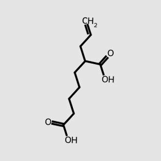 C=CCC(CCCCC(=O)O)C(=O)O